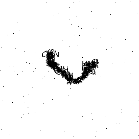 CC1(C)C(NC(=O)c2cnc(N3C[C@@H]4C[C@H]3C[C@@H]4CN3CCN(c4ccc5c(c4)C(=O)N(C4CCC(=O)NC4=O)C5=O)CC3)nc2)C(C)(C)C1Oc1ccc(C#N)c(Cl)c1